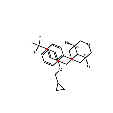 FC(F)(F)c1ccc(CC2[C@@H]3COC[C@H]2CN(Cc2ccccc2)C3)c(OCC2CC2)c1